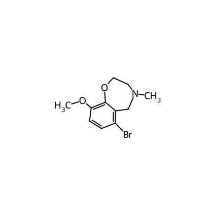 COc1ccc(Br)c2c1OCCN(C)C2